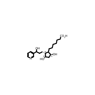 O=C(O)CCCCCCC1[C@@H](CCC(O)c2cccnc2)[C@H](O)C[C@@H]1O